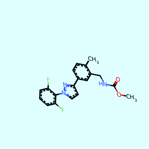 COC(=O)NCc1cc(-c2ccn(-c3c(F)cccc3F)n2)ccc1C